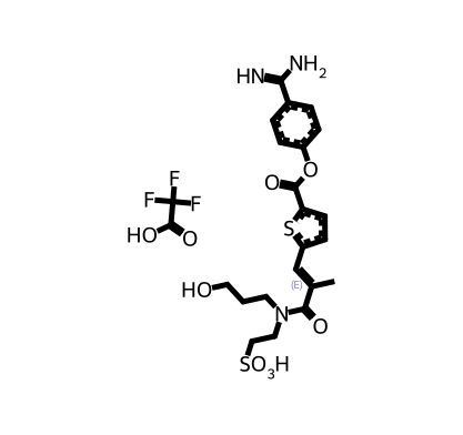 C/C(=C\c1ccc(C(=O)Oc2ccc(C(=N)N)cc2)s1)C(=O)N(CCCO)CCS(=O)(=O)O.O=C(O)C(F)(F)F